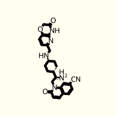 N#Cc1ccc2ccc(=O)n(C[C@H](N)[C@H]3CC[C@H](NCc4ccc5c(n4)NC(=O)CO5)CC3)c2c1